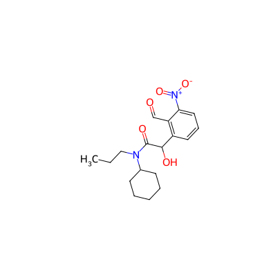 CCCN(C(=O)C(O)c1cccc([N+](=O)[O-])c1C=O)C1CCCCC1